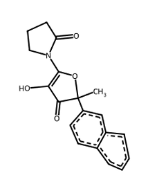 CC1(c2ccc3ccccc3c2)OC(N2CCCC2=O)=C(O)C1=O